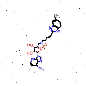 CC(C)(C)c1ccc2[nH]c(CCCCN(C[C@H]3O[C@@H](n4cnc5c(N)ccnc54)[C@H](O)[C@@H]3O)S(C)(=O)=O)nc2c1